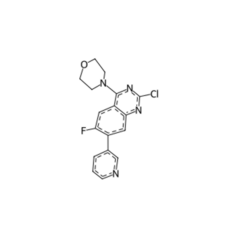 Fc1cc2c(N3CCOCC3)nc(Cl)nc2cc1-c1cccnc1